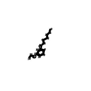 CCCCCC[N]c1cccc(OCC)c1